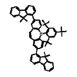 CC(C)(C)c1cc(C(C)(C)C)c(B2c3ccc(-c4cccc5c4C(C)(C)c4ccccc4-5)cc3C=Cc3cc(-c4cccc5c4C(C)(C)c4ccccc4-5)ccc32)c(C(C)(C)C)c1